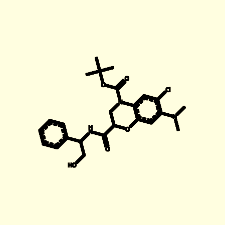 CN(C)c1cc2c(cc1Cl)N(C(=O)OC(C)(C)C)CC(C(=O)NC(CO)c1ccccc1)O2